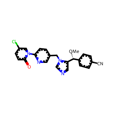 CO[C@H](c1ccc(C#N)cc1)c1cncn1Cc1ccc(-n2cc(Cl)ccc2=O)nc1